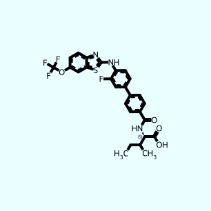 CCC(C)[C@H](NC(=O)c1ccc(-c2ccc(Nc3nc4ccc(OC(F)(F)F)cc4s3)c(F)c2)cc1)C(=O)O